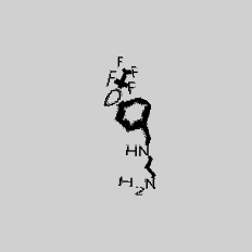 NCCCNCc1ccc(OC(F)(F)C(F)F)cc1